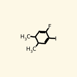 CC1C=C(F)C(I)=CC1C